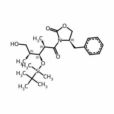 C[C@@H](CO)[C@H](O[Si](C)(C)C(C)(C)C)[C@@H](C)C(=O)N1C(=O)OC[C@H]1Cc1ccccc1